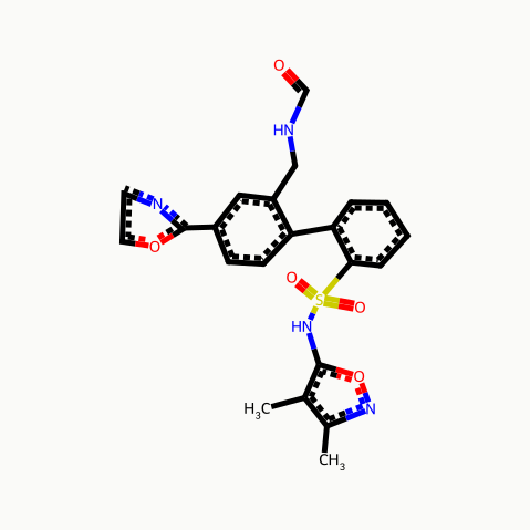 Cc1noc(NS(=O)(=O)c2ccccc2-c2ccc(-c3ncco3)cc2CNC=O)c1C